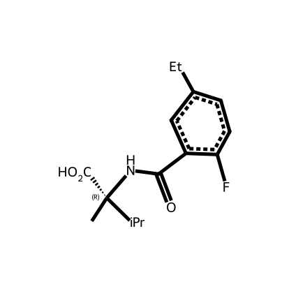 CCc1ccc(F)c(C(=O)N[C@@](C)(C(=O)O)C(C)C)c1